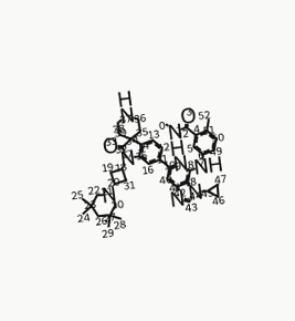 CNC(=O)c1cc(Nc2nc(-c3ccc4c(c3)N([C@H]3C[C@@H](N5CC(C)(C)CC(C)(C)C5)C3)C(=O)C43CCNCC3)cc3ncn(C4CC4)c23)ccc1C